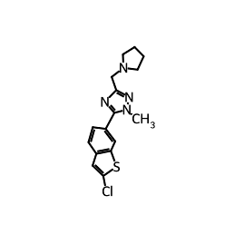 Cn1nc(CN2CCCC2)nc1-c1ccc2cc(Cl)sc2c1